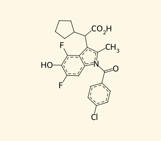 Cc1c(C(C(=O)O)C2CCCC2)c2c(F)c(O)c(F)cc2n1C(=O)c1ccc(Cl)cc1